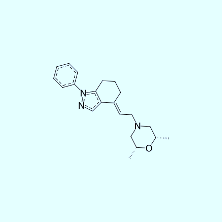 C[C@@H]1CN(C/C=C2\CCCc3c2cnn3-c2ccccc2)C[C@H](C)O1